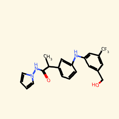 CC(C(=O)Nn1cccc1)c1cccc(Nc2cc(CO)cc(C(F)(F)F)c2)c1